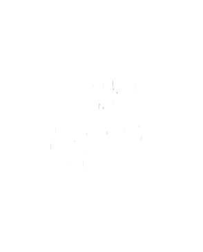 CCN(Cc1cc(C(F)(F)F)ccc1B1OC(C)(C)C(C)(C)O1)C(=O)NC